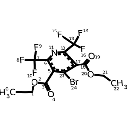 CCOC(=O)c1c(C(F)(F)F)nc(C(F)(F)F)c(C(=O)OCC)c1Br